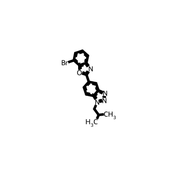 CC(C)Cn1nnc2cc(-c3nc4cccc(Br)c4o3)ccc21